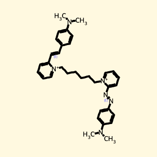 CN(C)c1ccc(/C=C/c2cccc[n+]2CCCCCC[n+]2ccccc2/N=N/c2ccc(N(C)C)cc2)cc1